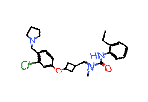 CCc1ccccc1NC(=O)N(C)CC1CC(Oc2ccc(CN3CCCC3)c(Cl)c2)C1